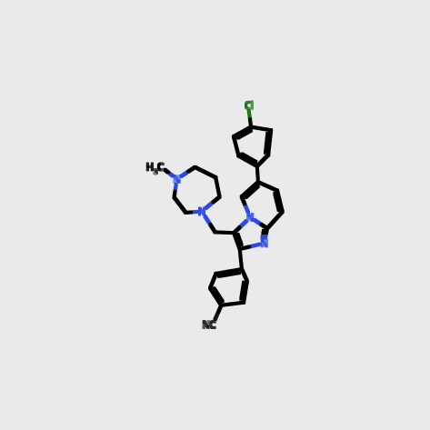 CN1CCCN(Cc2c(-c3ccc(C#N)cc3)nc3ccc(-c4ccc(Cl)cc4)cn23)CC1